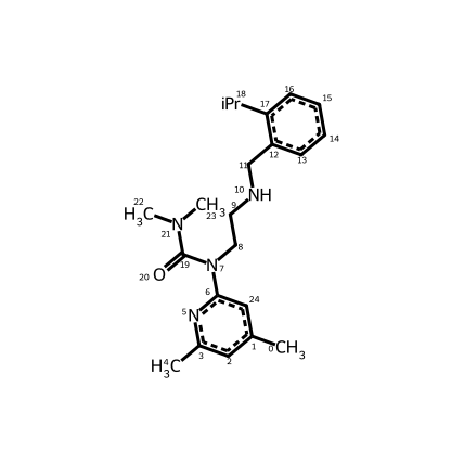 Cc1cc(C)nc(N(CCNCc2ccccc2C(C)C)C(=O)N(C)C)c1